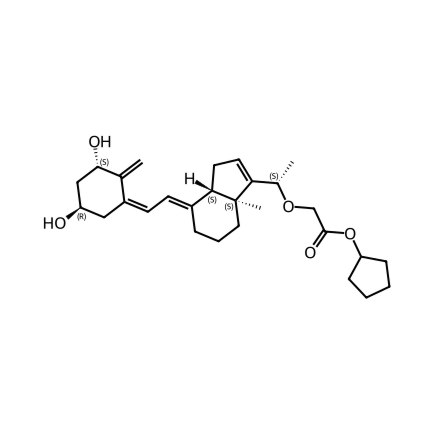 C=C1C(=CC=C2CCC[C@]3(C)C([C@H](C)OCC(=O)OC4CCCC4)=CC[C@@H]23)C[C@@H](O)C[C@@H]1O